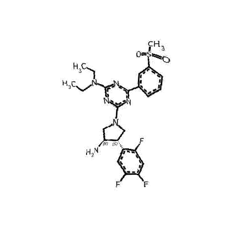 CCN(CC)c1nc(-c2cccc(S(C)(=O)=O)c2)nc(N2C[C@H](c3cc(F)c(F)cc3F)[C@@H](N)C2)n1